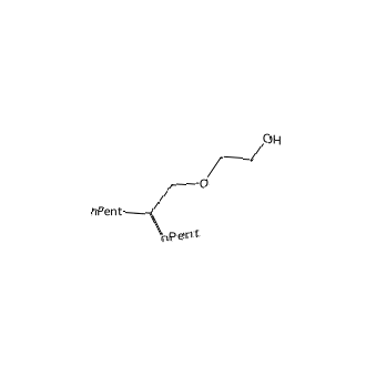 CCCCCC(CCCCC)COCCO